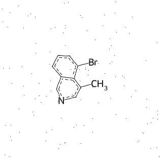 Cc1cncc2cccc(Br)c12